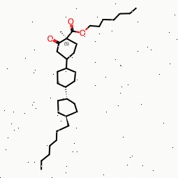 CCCCCCCOC(=O)[C@@]1(C)CCC(C2CCC([C@H]3CC[C@H](CCCCCCC)CC3)CC2)CC1=O